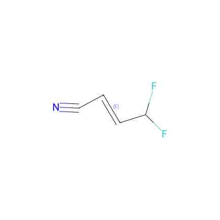 N#C/C=C/C(F)F